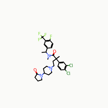 CC(c1ccc(F)c(C(F)(F)F)c1)N(C)C(=O)C(C)(CCN1CCC(N2CCCC2=O)CC1)c1ccc(Cl)c(Cl)c1